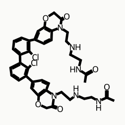 CC(=O)NCCNCCN1C(=O)COc2cc(-c3cccc(-c4cccc(-c5ccc6c(c5)OCC(=O)N6CCNCCNC(C)=O)c4Cl)c3Cl)ccc21